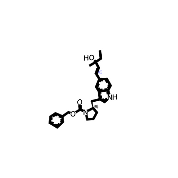 CCC(C)(O)/C=C/c1ccc2[nH]cc(C[C@H]3CCCN3C(=O)OCc3ccccc3)c2c1